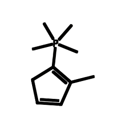 CC1=C(P(C)(C)(C)C)CC=C1